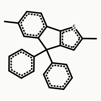 Cc1ccc2c(c1)C(c1ccccc1)(c1ccccc1)c1cc(C)sc1-2